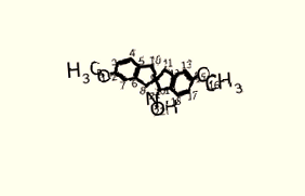 COc1ccc2c(c1)CC1(C2)Cc2cc(OC)ccc2C1=NO